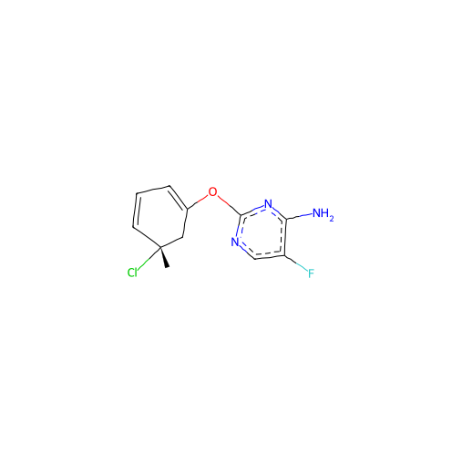 C[C@@]1(Cl)C=CC=C(Oc2ncc(F)c(N)n2)C1